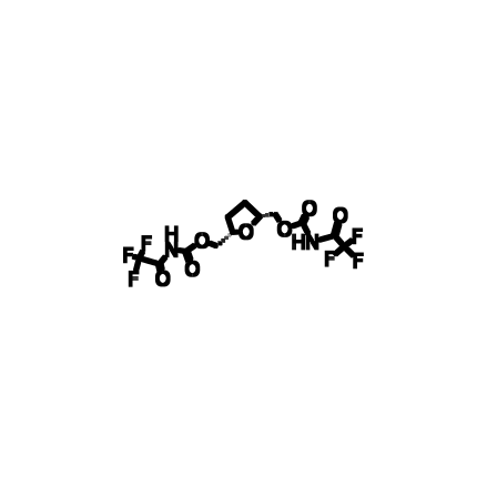 O=C(NC(=O)C(F)(F)F)OC[C@H]1CC[C@@H](COC(=O)NC(=O)C(F)(F)F)O1